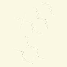 Cc1cnc(Cl)nc1Nc1ccc2nccnc2c1P(C)(C)=O